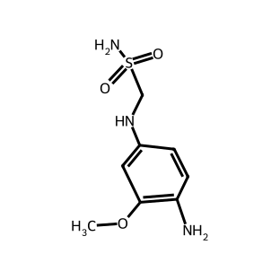 COc1cc(NCS(N)(=O)=O)ccc1N